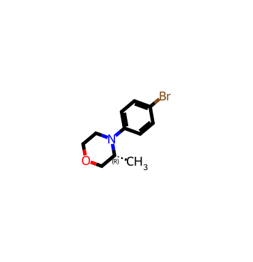 C[C@@H]1COCCN1c1ccc(Br)cc1